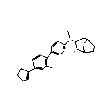 CN(c1ccc(-c2ccc(C3=CCCC3)cc2O)nn1)[C@H]1CC2CCC(N2)[C@H]1F